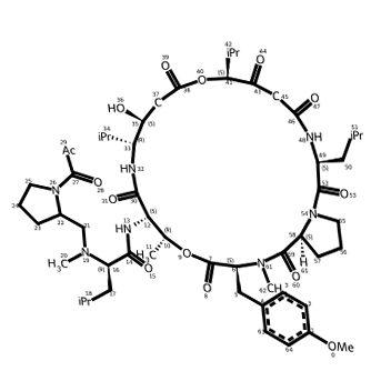 COc1ccc(C[C@H]2C(=O)O[C@H](C)[C@H](NC(=O)[C@@H](CC(C)C)N(C)CC3CCCN3C(=O)C(C)=O)C(=O)N[C@H](C(C)C)[C@@H](O)CC(=O)O[C@@H](C(C)C)C(=O)CC(=O)N[C@@H](CC(C)C)C(=O)N3CCC[C@H]3C(=O)N2C)cc1